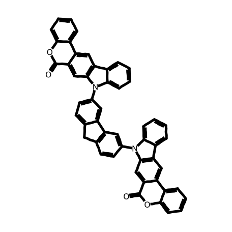 O=c1oc2ccccc2c2cc3c4ccccc4n(-c4ccc5c(c4)-c4cc(-n6c7ccccc7c7cc8c(cc76)c(=O)oc6ccccc68)ccc4C5)c3cc12